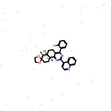 C[C@H]1[C@@H]2CCc3c(-c4ccccc4F)nc(-c4ccnc5ccccc45)nc3[C@]2(C)CCC12OCCO2